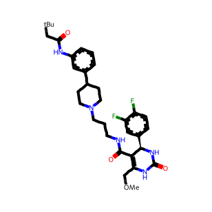 COCC1=C(C(=O)NCCCN2CCC(c3cccc(NC(=O)CC(C)(C)C)c3)CC2)[C@@H](c2ccc(F)c(F)c2)NC(=O)N1